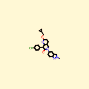 Cn1cc2cc(-n3cc4ccc(OCC5CC5)nc4c(-c4ccc(Cl)cc4)c3=O)ccc2n1